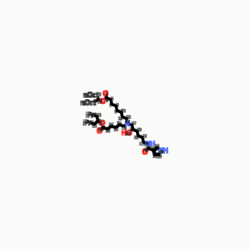 CCCCCCCCC(CCCCCCCC)OC(=O)CCCCCCCN(CCCCCC(=O)OC(CC(C)C)CC(C)C)CC(O)CCCCNC(=O)c1cc[nH]c1